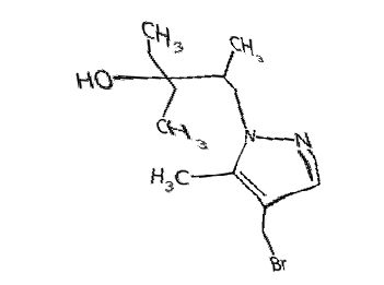 Cc1c(Br)cnn1C(C)C(C)(C)O